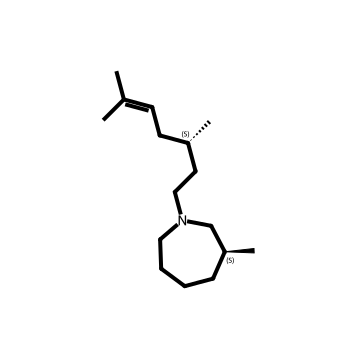 CC(C)=CC[C@H](C)CCN1CCCC[C@H](C)C1